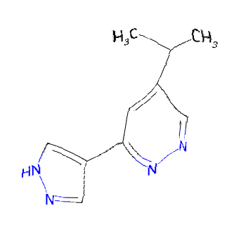 CC(C)c1cnnc(-c2cn[nH]c2)c1